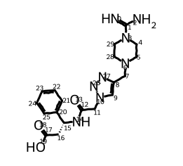 N=C(N)N1CCN(Cc2cn(CC(=O)N[C@H](CC(=O)O)c3ccccc3)nn2)CC1